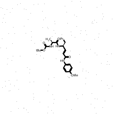 COc1ccc(NC(=O)/C=C/[C@H](CC(C)C)NC(=O)[C@H](C)NC(=O)OC(C)(C)C)cc1